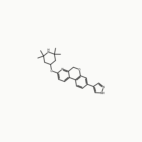 CC1(C)CC(Oc2ccc3c(n2)COc2cc(-c4cn[nH]c4)ccc2-3)CC(C)(C)N1